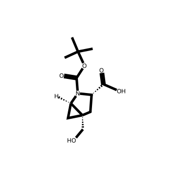 CC(C)(C)OC(=O)N1[C@H](C(=O)O)C[C@@]2(CO)C[C@@H]12